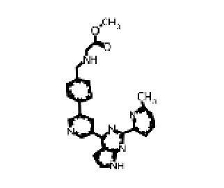 COC(=O)CNCc1ccc(-c2cncc(-c3nc(-c4cccc(C)n4)nc4[nH]ccc34)c2)cc1